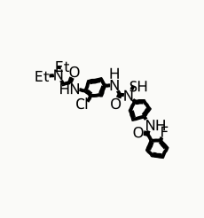 CCN(CC)CC(=O)Nc1ccc(NC(=O)N(S)c2ccc(NC(=O)c3ccccc3F)cc2)cc1Cl